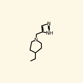 CCC1CCN(Cc2cnc[nH]2)CC1